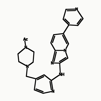 CC(=O)N1CCN(Cc2ccnc(Nc3cn4cc(-c5ccncc5)ccc4n3)c2)CC1